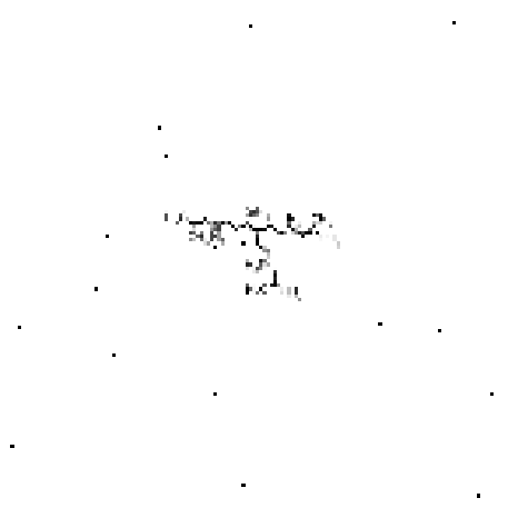 CC(C)=C[SiH2]CCC([SiH3])=C(CC[SiH2]C=C(C)C)CC[SiH2]C=C(C)C